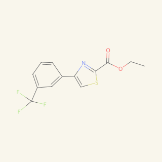 CCOC(=O)c1nc(-c2cccc(C(F)(F)F)c2)cs1